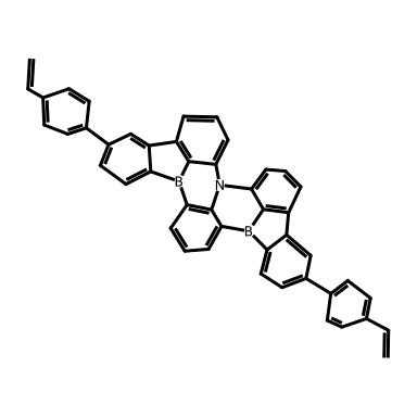 C=Cc1ccc(-c2ccc3c(c2)-c2cccc4c2B3c2cccc3c2N4c2cccc4c2B3c2ccc(-c3ccc(C=C)cc3)cc2-4)cc1